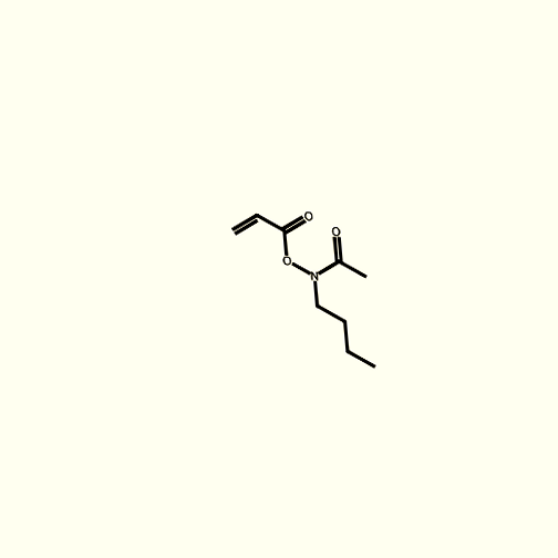 C=CC(=O)ON(CCCC)C(C)=O